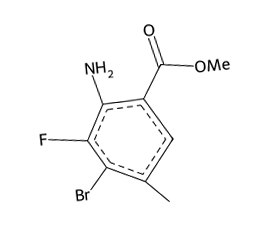 COC(=O)c1cc(C)c(Br)c(F)c1N